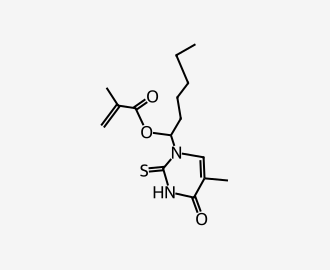 C=C(C)C(=O)OC(CCCCC)n1cc(C)c(=O)[nH]c1=S